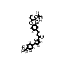 CCC(Oc1ccc(CCC(=O)c2ccc(-c3ccc(C(F)(F)F)cc3)s2)cc1)C(=O)OC(C)(C)C